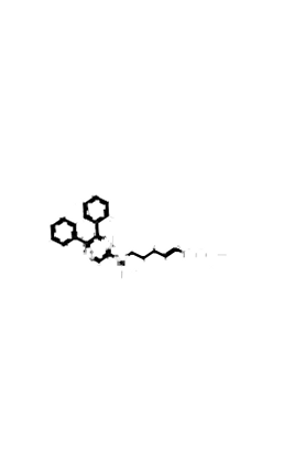 CC(C)N(CCCC=CC(=O)O)c1cnc(-c2ccccc2)c(-c2ccccc2)n1